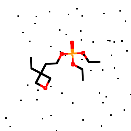 CCOP(=O)(OCC)OCCC1(CC)COC1